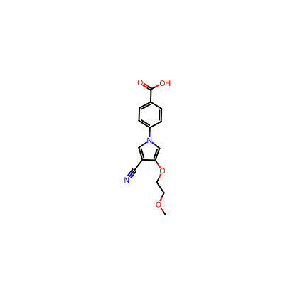 COCCOc1cn(-c2ccc(C(=O)O)cc2)cc1C#N